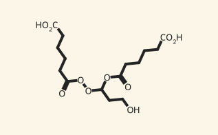 O=C(O)CCCCC(=O)OOC(CCO)OC(=O)CCCCC(=O)O